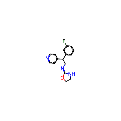 Fc1cccc(C(CN=C2NCCO2)c2ccncc2)c1